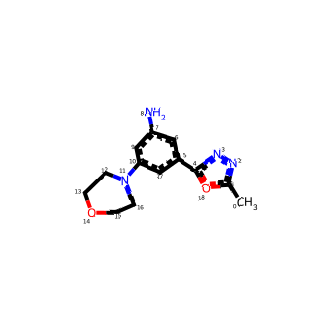 Cc1nnc(-c2cc(N)cc(N3CCOCC3)c2)o1